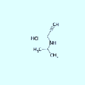 C#CCNC(C)C.Cl